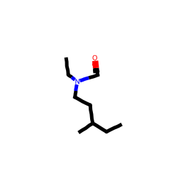 CCC(C)CCN(C=O)CC